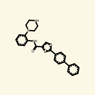 O=C(Nc1ccccc1N1CCNCC1)c1csc(-c2ccc(-c3ccccc3)cc2)n1